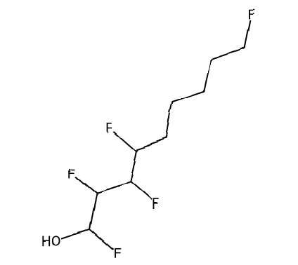 OC(F)C(F)C(F)C(F)CCCCCF